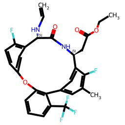 C=CN[C@@H]1C(=O)N[C@@H](CC(=O)OCC)c2cc(cc(C)c2F)-c2c(cccc2C(F)(F)F)Oc2ccc(F)c1c2